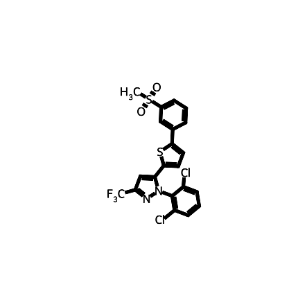 CS(=O)(=O)c1cccc(-c2ccc(-c3cc(C(F)(F)F)nn3-c3c(Cl)cccc3Cl)s2)c1